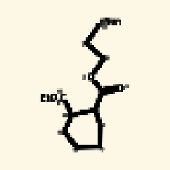 CCCCCCCCCCCOC(=O)C1CCCCC1C(=O)OCC